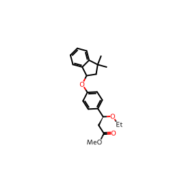 CCO[C@@H](CC(=O)OC)c1ccc(OC2CC(C)(C)c3ccccc32)cc1